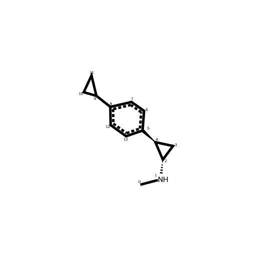 CN[C@H]1C[C@@H]1c1ccc(C2CC2)cc1